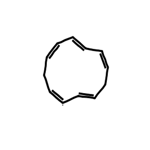 [C]1=C\C\C=C/C=C/C=C\C/C=C/1